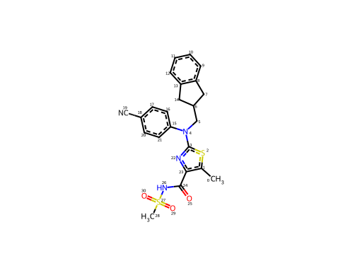 Cc1sc(N(CC2Cc3ccccc3C2)c2ccc(C#N)cc2)nc1C(=O)NS(C)(=O)=O